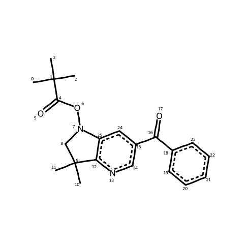 CC(C)(C)C(=O)ON1CC(C)(C)c2ncc(C(=O)c3ccccc3)cc21